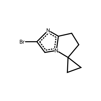 Brc1cn2c(n1)CCC21CC1